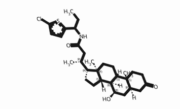 CCC(NC(=O)C[C@@H](C)[C@H]1CC[C@H]2[C@@H]3[C@H](O)C[C@@H]4CC(=O)CC[C@]4(C)[C@H]3CC[C@]12C)c1ccc(Cl)s1